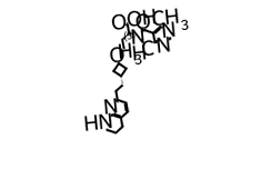 Cc1ncnc(C)c1C(=O)N[C@@H](CCO[C@H]1C[C@@H](CCc2ccc3c(n2)NCCC3)C1)C(=O)O